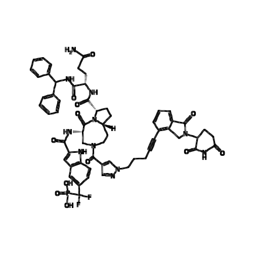 NC(=O)CC[C@H](NC(=O)[C@@H]1CC[C@@H]2CCN(C(=O)c3cnn(CCCC#Cc4cccc5c4CN(C4CCC(=O)NC4=O)C5=O)c3)C[C@H](NC(=O)c3cc4cc(C(F)(F)P(=O)(O)O)ccc4[nH]3)C(=O)N21)C(=O)NC(c1ccccc1)c1ccccc1